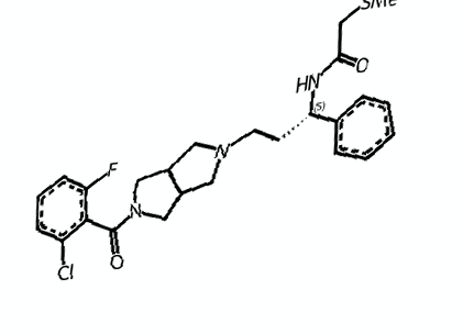 CSCC(=O)N[C@@H](CCN1CC2CN(C(=O)c3c(F)cccc3Cl)CC2C1)c1ccccc1